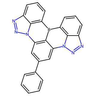 c1ccc(-c2cc3c4c(c2)-n2nnc5cccc(c52)B4c2cccc4nnn-3c24)cc1